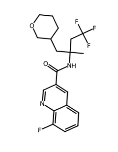 CC(CC1CCCOC1)(CC(F)(F)F)NC(=O)c1cnc2c(F)cccc2c1